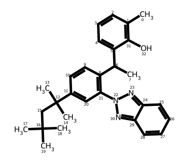 Cc1cccc(C(C)c2ccc(C(C)(C)CC(C)(C)C)cc2-n2nc3ccccc3n2)c1O